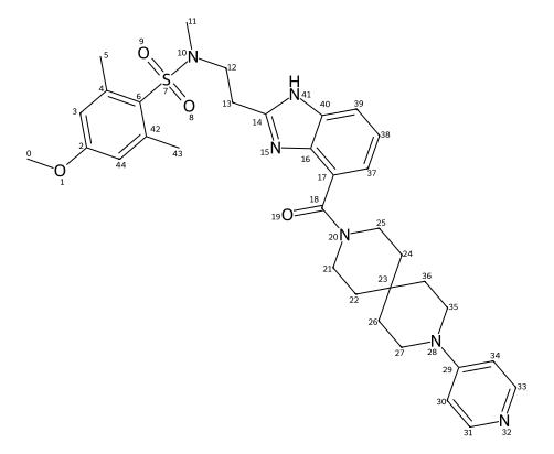 COc1cc(C)c(S(=O)(=O)N(C)CCc2nc3c(C(=O)N4CCC5(CC4)CCN(c4ccncc4)CC5)cccc3[nH]2)c(C)c1